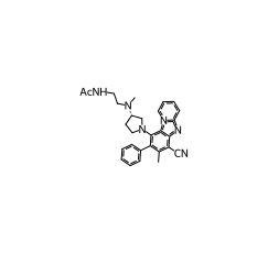 CC(=O)NCCN(C)[C@H]1CCN(c2c(-c3ccccc3)c(C)c(C#N)c3nc4ccccn4c23)C1